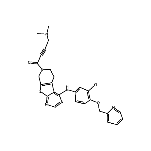 CN(C)CC#CC(=O)N1CCc2c(sc3ncnc(Nc4ccc(OCc5ccccn5)c(Cl)c4)c23)C1